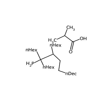 CC(C)C(=O)O.CCCCCCCCCCCCC(CCCCCC)C(P)(CCCCCC)CCCCCC